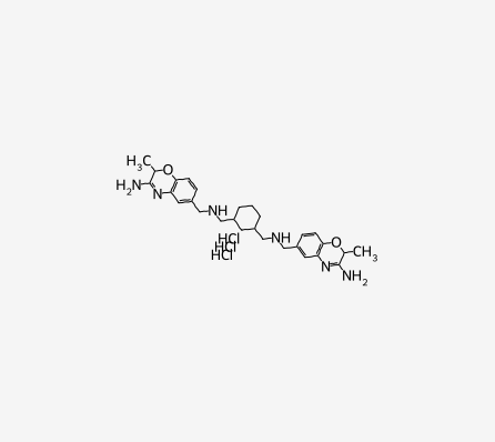 CC1Oc2ccc(CNCC3CCCC(CNCc4ccc5c(c4)N=C(N)C(C)O5)C3)cc2N=C1N.Cl.Cl.Cl